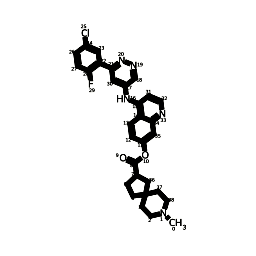 CN1CCC2(CCC(C(=O)Oc3ccc4c(Nc5cnnc(-c6cc(Cl)ccc6F)c5)ccnc4c3)C2)CC1